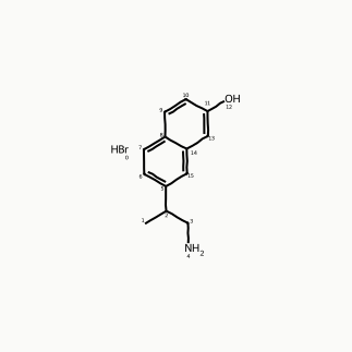 Br.CC(CN)c1ccc2ccc(O)cc2c1